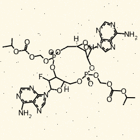 CC(C)OC(=O)OCOP1(=O)OC[C@H]2O[C@@H](n3cnc4c(N)ncnc43)C(F)C2OP(=O)(OCOC(=O)OC(C)C)OC[C@H]2O[C@@H](n3cnc4c(N)ncnc43)C(O1)C2O